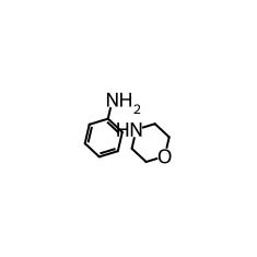 C1COCCN1.Nc1ccccc1